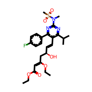 CCOC(=O)C=C(C[C@H](O)C=Cc1c(-c2ccc(F)cc2)nc(N(C)S(C)(=O)=O)nc1C(C)C)OCC